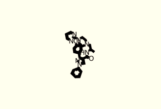 CC(CN1CCN(c2ncccn2)CC1)NC(=O)c1cn(-c2ccccc2)nc1-c1ccc(Cl)cc1